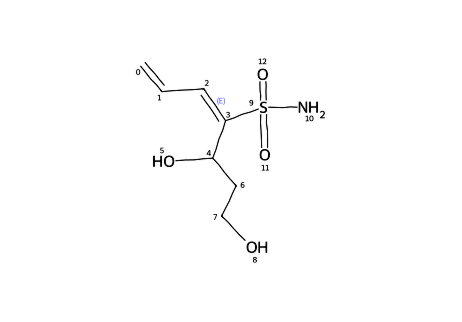 C=C/C=C(\C(O)CCO)S(N)(=O)=O